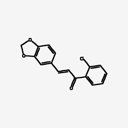 O=C(/C=C/c1ccc2c(c1)OCO2)c1ccccc1Cl